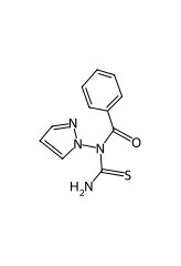 NC(=S)N(C(=O)c1ccccc1)n1cccn1